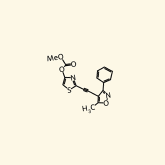 COC(=O)Oc1csc(C#Cc2c(-c3ccccc3)noc2C)n1